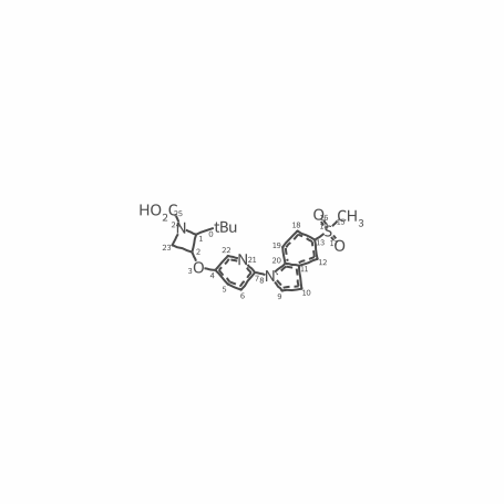 CC(C)(C)C1C(Oc2ccc(-n3ccc4cc(S(C)(=O)=O)ccc43)nc2)CN1C(=O)O